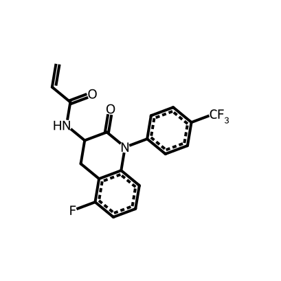 C=CC(=O)NC1Cc2c(F)cccc2N(c2ccc(C(F)(F)F)cc2)C1=O